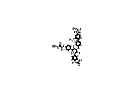 Cc1cc(S(=O)(=O)NC(C)C)ccc1-c1ccc(C[C@H](NC(=O)[C@H]2CC[C@H](CNC(=O)OC(C)(C)C)CC2)C(=O)Nc2ccc3[nH]c(=O)[nH]c3c2)cc1